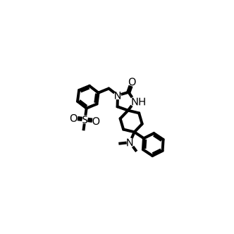 CN(C)C1(c2ccccc2)CCC2(CC1)CN(Cc1cccc(S(C)(=O)=O)c1)C(=O)N2